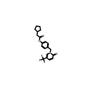 O=C(CC1CCCC1)Oc1ccc(Cn2cc(C(F)(F)F)ccc2=O)cc1